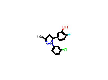 CC(C)(C)C1=NN(c2cccc(Cl)c2)C(c2ccc(F)c(O)c2)C1